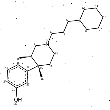 C[C@H]1CN(CCCC2CCCCC2)CC[C@]1(C)c1cccc(O)c1